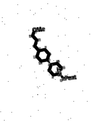 CCCCC[Si@H]1CC[C@H](C2CCC(CCCOC)CC2)CC1